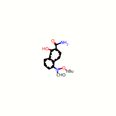 CCCCON(C=O)c1cccc2c(O)c(C(N)=O)ccc12